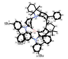 CC(C)(C)c1ccc(N2c3ccc4cc3B3c5cc6c(cc5N(c5ccc(C(C)(C)C)cc5-c5ccccc5)c5cc(C(C)(C)C)cc2c53)C(C)(C)CCC6(C)c2cc3c(cc2-c2ccccc2)C2(C)CCCCC2(C)N43)c(-c2ccccc2)c1